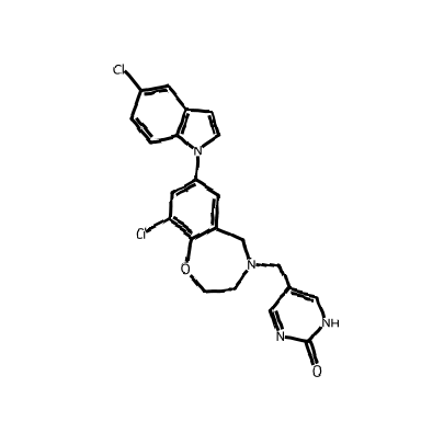 O=c1ncc(CN2CCOc3c(Cl)cc(-n4ccc5cc(Cl)ccc54)cc3C2)c[nH]1